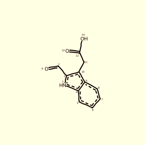 O=Cc1[nH]c2ccccc2c1CC(=O)O